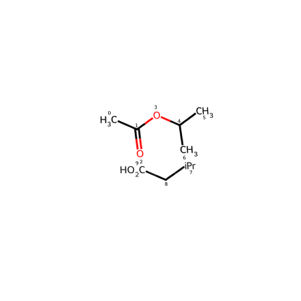 CC(=O)OC(C)C.CC(C)CC(=O)O